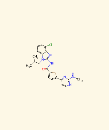 CNc1nccc(-c2ccc(C(=O)Nc3nc4c(Cl)cccc4n3CC(C)C)s2)n1